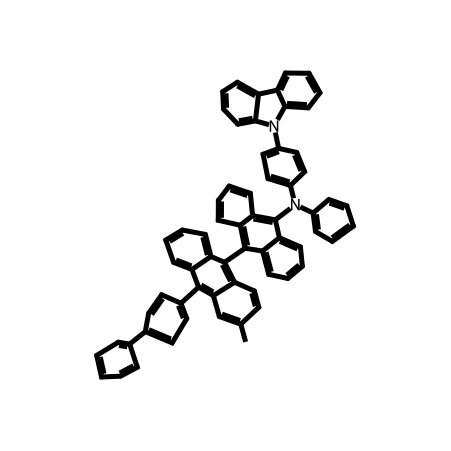 Cc1ccc2c(-c3c4ccccc4c(N(c4ccccc4)c4ccc(-n5c6ccccc6c6ccccc65)cc4)c4ccccc34)c3ccccc3c(-c3ccc(-c4ccccc4)cc3)c2c1